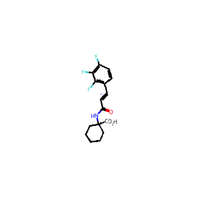 O=C(/C=C/c1ccc(F)c(F)c1F)NC1(C(=O)O)CCCCC1